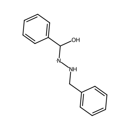 OC([N]NCc1ccccc1)c1ccccc1